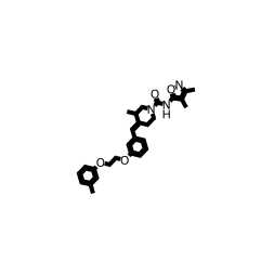 Cc1cccc(OCCOc2cccc(C=C3CCN(C(=O)Nc4onc(C)c4C)CC3C)c2)c1